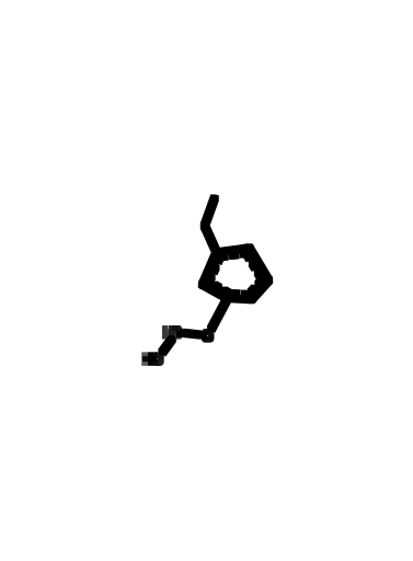 CCc1cccc(OBO)c1